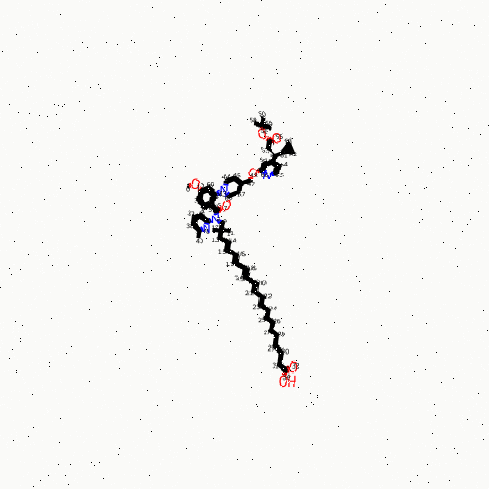 COc1ccc(C(=O)N(CC(C)(C)CCCCCCCCCCCCCCCCCCCC(=O)O)c2cccc(C)n2)c(N2CCC(COc3cc([C@@H](CC(=O)OC(C)(C)C)C4CC4)ccn3)CC2)c1